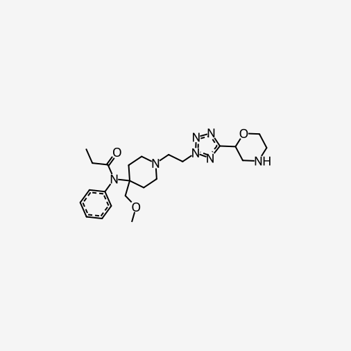 CCC(=O)N(c1ccccc1)C1(COC)CCN(CCn2nnc(C3CNCCO3)n2)CC1